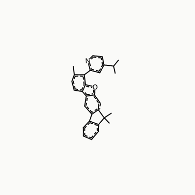 Cc1ccc2c(oc3cc4c(cc32)-c2ccccc2C4(C)C)c1-c1cc(C(C)C)ccn1